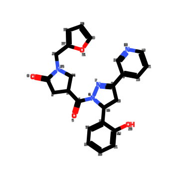 O=C1CC(C(=O)N2N=C(c3cccnc3)CC2c2ccccc2O)CN1Cc1ccco1